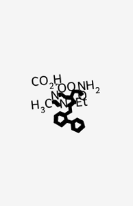 CCc1c(C(=O)C(N)=O)c2c(OCC(=O)O)nc(C)cn2c1Cc1ccccc1-c1ccccc1